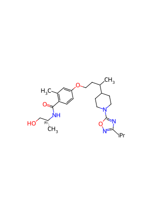 Cc1cc(OCCC(C)C2CCN(c3nc(C(C)C)no3)CC2)ccc1C(=O)N[C@H](C)CO